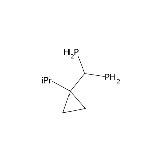 CC(C)C1(C(P)P)CC1